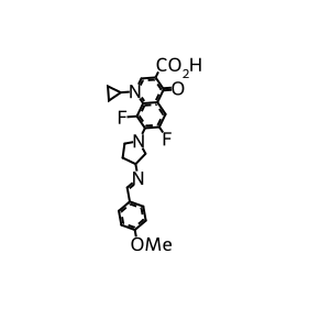 COc1ccc(C=NC2CCN(c3c(F)cc4c(=O)c(C(=O)O)cn(C5CC5)c4c3F)C2)cc1